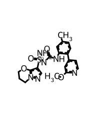 COc1cc(-c2ccc(C)cc2NC(=O)N=[S@](N)(=O)c2cnn3c2OCCC3)ccn1